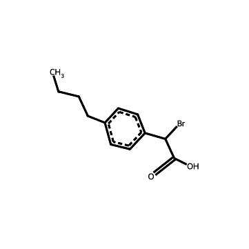 CCCCc1ccc(C(Br)C(=O)O)cc1